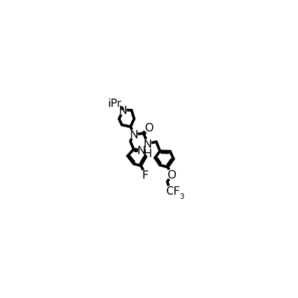 CC(C)N1CCC(N(Cc2ccc(F)cn2)C(=O)NCc2ccc(OCC(F)(F)F)cc2)CC1